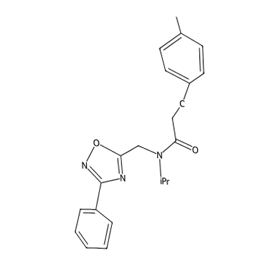 Cc1ccc(CCC(=O)N(Cc2nc(-c3ccccc3)no2)C(C)C)cc1